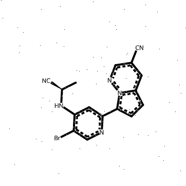 C[C@H](C#N)Nc1cc(-c2ccc3cc(C#N)cnn23)ncc1Br